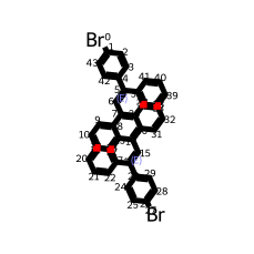 Brc1ccc(/C(=C/c2c3ccccc3c(/C=C(\c3ccccc3)c3ccc(Br)cc3)c3ccccc23)c2ccccc2)cc1